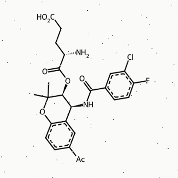 CC(=O)c1ccc2c(c1)[C@H](NC(=O)c1ccc(F)c(Cl)c1)[C@H](OC(=O)[C@@H](N)CCC(=O)O)C(C)(C)O2